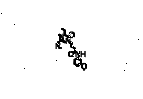 C/C=C1/C(=O)N(CCCC(=O)Nc2cccc(OC)c2)C=C(/C=N\C)N1C